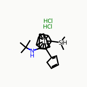 C[SiH](C)[C]12[CH]3[CH]4[C]5(NC(C)(C)C)[C]1(C1=CC=CC1)[Ti]43521678[CH]2[CH]1[CH]6[CH]7[CH]28.Cl.Cl